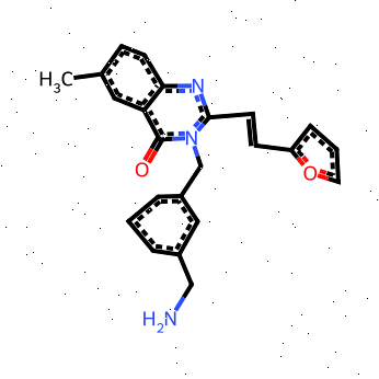 Cc1ccc2nc(C=Cc3ccco3)n(Cc3cccc(CN)c3)c(=O)c2c1